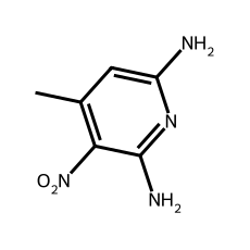 Cc1cc(N)nc(N)c1[N+](=O)[O-]